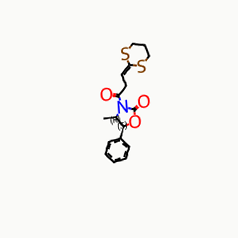 C[C@@H]1[C@H](c2ccccc2)OC(=O)N1C(=O)CC=C1SCCCS1